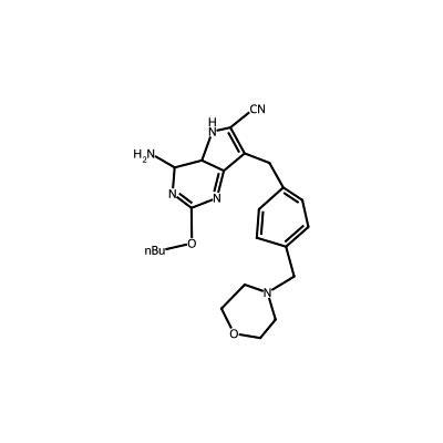 CCCCOC1=NC(N)C2NC(C#N)=C(Cc3ccc(CN4CCOCC4)cc3)C2=N1